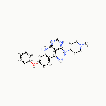 CCN1CCC(Nc2ncnc(N)c2C(=N)c2ccc(Oc3ccccc3)cc2)CC1